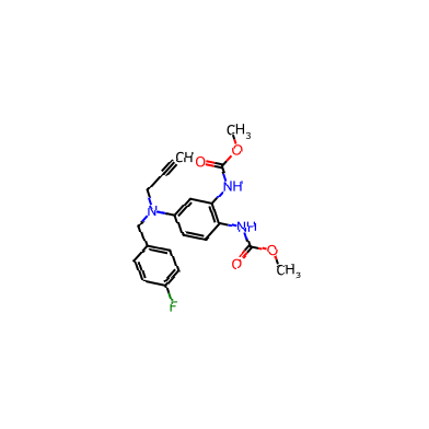 C#CCN(Cc1ccc(F)cc1)c1ccc(NC(=O)OC)c(NC(=O)OC)c1